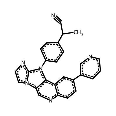 CC(C#N)c1ccc(-n2c3c4cc(-c5cccnc5)ccc4ncc3n3ccnc23)cc1